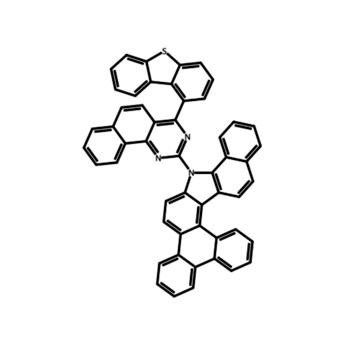 c1ccc2c(c1)ccc1c(-c3cccc4sc5ccccc5c34)nc(-n3c4ccc5c6ccccc6c6ccccc6c5c4c4ccc5ccccc5c43)nc12